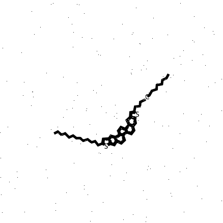 CCCCCCCCCCCCCc1cc2cc3c(ccc4c3ccc3c5cc6cc(CCCCCCCCCCCCC)sc6cc5ccc34)cc2s1